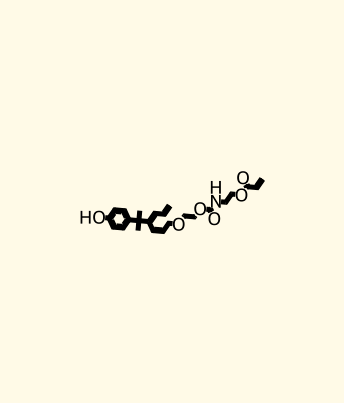 C=C/C=C(\C=C/COCCOC(=O)NCCOC(=O)C=C)C(C)(C)c1ccc(O)cc1